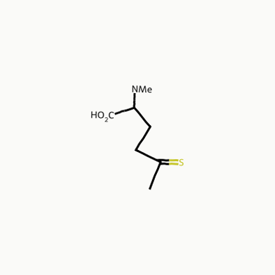 CNC(CCC(C)=S)C(=O)O